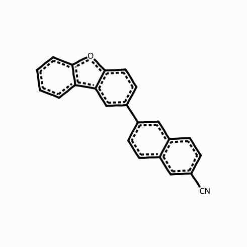 N#Cc1ccc2cc(-c3ccc4oc5ccccc5c4c3)ccc2c1